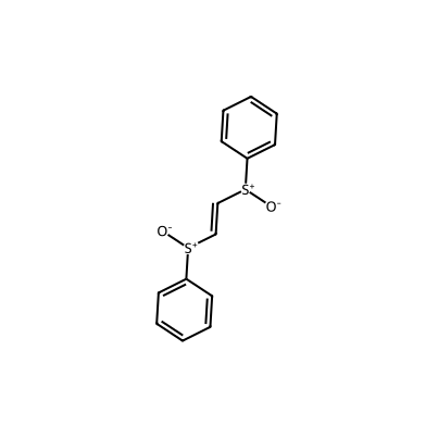 [O-][S+](/C=C/[S+]([O-])c1ccccc1)c1ccccc1